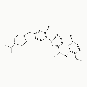 COc1ncc(Cl)cc1SN(C)c1ccnc(-c2ccc(CN3CCN(C(C)C)CC3)cc2F)c1